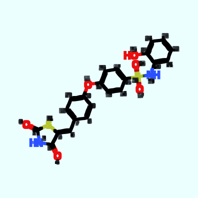 O=C1NC(=O)C(=Cc2ccc(Oc3ccc(S(=O)(=O)Nc4ccccc4O)cc3)cc2)S1